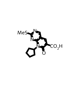 CSc1ncc2cc(C(=O)O)c(=O)n(C3CCCC3)c2n1